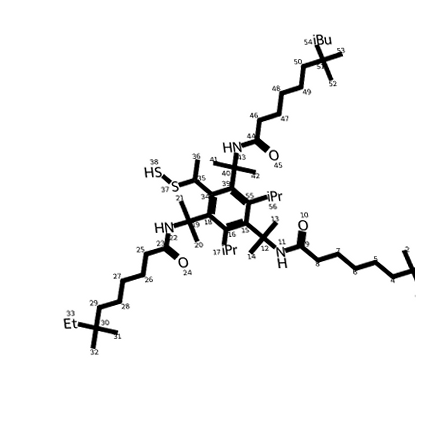 CCC(C)C(C)(C)CCCCCC(=O)NC(C)(C)c1c(C(C)C)c(C(C)(C)NC(=O)CCCCCC(C)(C)CC)c(C(C)SS)c(C(C)(C)NC(=O)CCCCCC(C)(C)C(C)CC)c1C(C)C